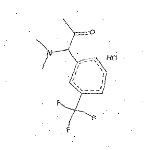 CC(=O)C(c1cccc(C(F)(F)F)c1)N(C)C.Cl